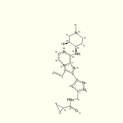 C=Cc1c(-c2nnc(CNC(=O)C3CC3)s2)nc2c(N[C@@H]3CCN(C)C[C@@H]3F)nccn12